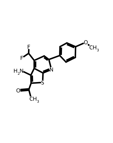 COc1ccc(-c2cc(C(F)F)c3c(N)c(C(C)=O)sc3n2)cc1